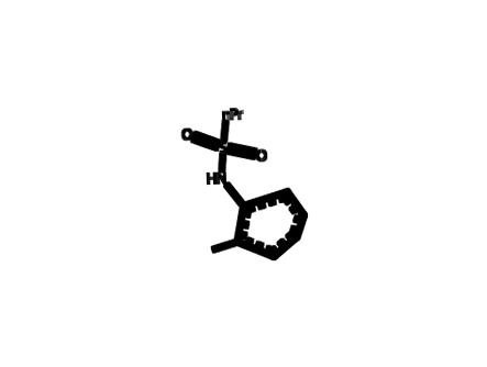 CCCS(=O)(=O)Nc1ccccc1C